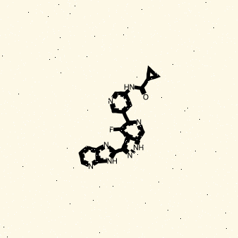 O=C(Nc1cncc(-c2ncc3[nH]nc(-c4nc5cccnc5[nH]4)c3c2F)c1)C1CC1